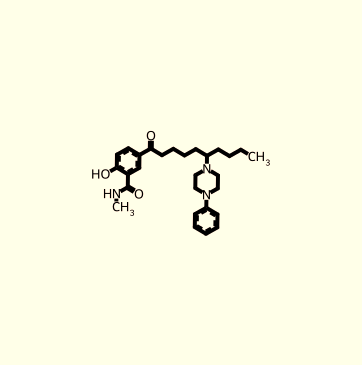 CCCCC(CCCCC(=O)c1ccc(O)c(C(=O)NC)c1)N1CCN(c2ccccc2)CC1